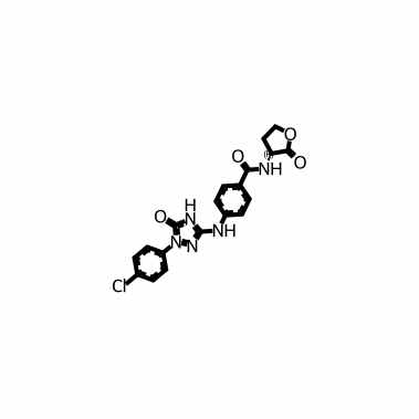 O=C(N[C@@H]1CCOC1=O)c1ccc(Nc2nn(-c3ccc(Cl)cc3)c(=O)[nH]2)cc1